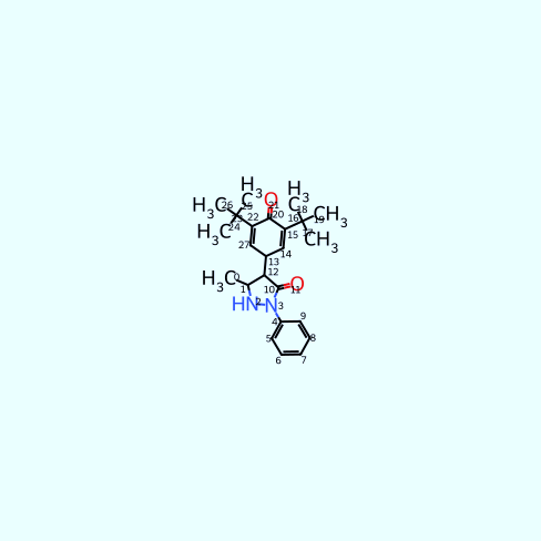 CC1NN(c2ccccc2)C(=O)C1C1C=C(C(C)(C)C)C(=O)C(C(C)(C)C)=C1